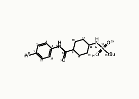 CC(C)c1ccc(NC(=O)C2CCC(NS(=O)(=O)C(C)(C)C)CC2)cc1